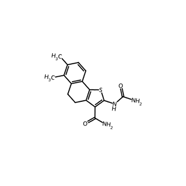 Cc1ccc2c(c1C)CCc1c-2sc(NC(N)=O)c1C(N)=O